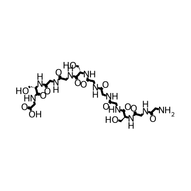 NCC(=O)NCC(=O)N[C@@H](CO)C(=O)NCC(=O)NCC(=O)NCC(=O)N[C@@H](CO)C(=O)NCC(=O)NCC(=O)N[C@@H](CO)C(=O)NCC(=O)O